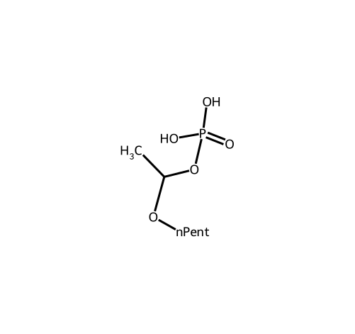 CCCCCOC(C)OP(=O)(O)O